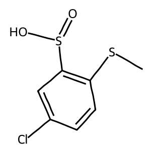 CSc1ccc(Cl)cc1S(=O)O